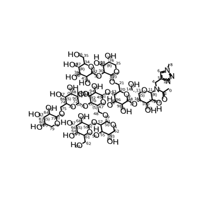 CC(=O)N(Cc1cn(C)nn1)[C@@H]1O[C@@H](CO)[C@@H](O[C@@H]2OC(CO[C@H]3OC[C@@H](O)[C@H](O)C3O[C@@H]3OC(CO)[C@H](O)[C@H](O)C3O)[C@@H](O[C@@H]3O[C@@H](CO[C@@H]4OC[C@H](O)C(O)C4O[C@@H]4OC(CO)[C@H](O)[C@H](O)C4O)[C@@H](O[C@@H]4OC(CO[C@H]5OC[C@@H](O)[C@H](O)C5O)[C@@H](O)[C@H](O)C4O)C(O)C3O)[C@H](O)C2O)C(O)C1O